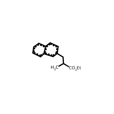 CCOC(=O)C(C)Cc1ccc2ccccc2c1